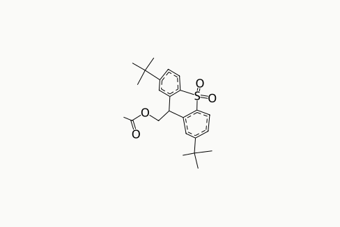 CC(=O)OCC1c2cc(C(C)(C)C)ccc2S(=O)(=O)c2ccc(C(C)(C)C)cc21